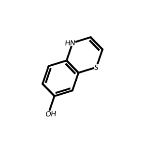 Oc1ccc2c(c1)SC=CN2